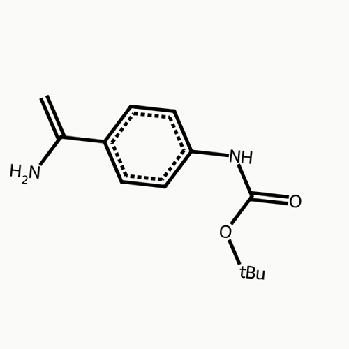 C=C(N)c1ccc(NC(=O)OC(C)(C)C)cc1